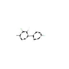 CC(=O)c1c(-c2ccc(F)cc2)ccc(C)c1Cl